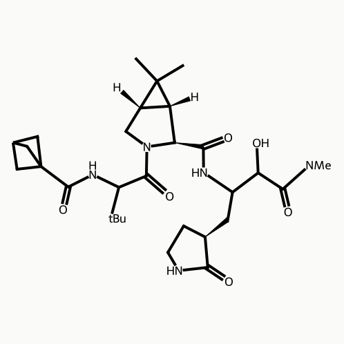 CNC(=O)C(O)C(C[C@@H]1CCNC1=O)NC(=O)[C@@H]1[C@@H]2[C@H](CN1C(=O)C(NC(=O)C13CC(C1)C3)C(C)(C)C)C2(C)C